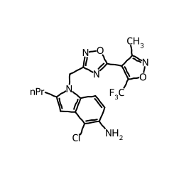 CCCc1cc2c(Cl)c(N)ccc2n1Cc1noc(-c2c(C)noc2C(F)(F)F)n1